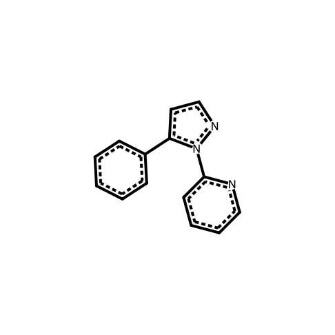 c1ccc(-c2ccnn2-c2ccccn2)cc1